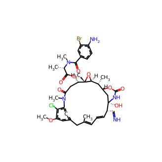 COc1cc2cc(c1Cl)N(C)C(=O)C[C@H](OC(=O)[C@H](C)N(C)C(=O)c1ccc(N)c(Br)c1)[C@]1(C)O[C@H]1[C@H](C)[C@@H]1C[C@@](O)(NC(=O)O1)[C@H](C=N)/C=C/C=C(\C)C2